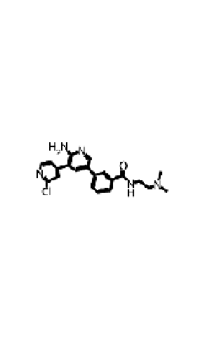 CN(C)CCNC(=O)c1cccc(-c2cnc(N)c(-c3ccnc(Cl)c3)c2)c1